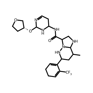 CC1CC(C2=CCCC=C2C(F)(F)F)NN2C(C(=O)NC3CC=NC(O[C@@H]4CCOC4)N3)CNC12